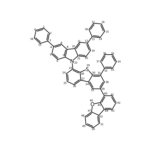 c1ccc(-c2ccc3c(c2)c2cc(-c4ccccc4)ccc2n3-c2cccc3c2sc2c(-c4ccccc4)cc(-c4cccc5c4oc4ccccc45)cc23)cc1